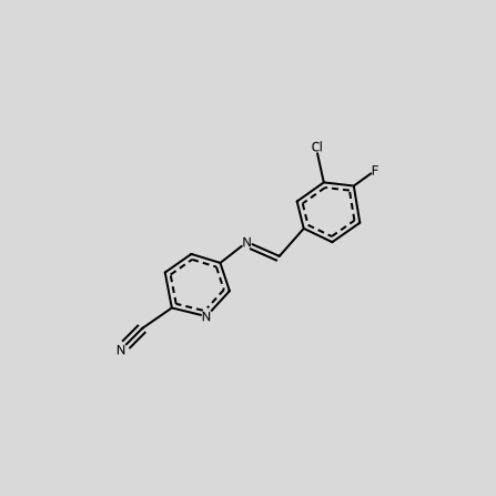 N#Cc1ccc(/N=C/c2ccc(F)c(Cl)c2)cn1